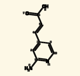 Nc1cc(/C=C/C(=O)O)ccn1